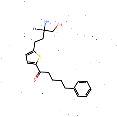 CCC(N)(CO)CCc1ccc(C(=O)CCCCc2ccccc2)s1